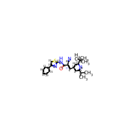 CC(C)c1cc(/C=C(\C#N)C(=O)Nc2nc(-c3ccccc3)cs2)cc(C(C)(C)C)n1